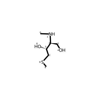 CN[C@@H](CO)[C@@H](O)CSC